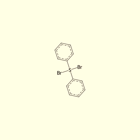 BrS(Br)(c1ccccc1)c1ccccc1